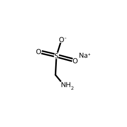 NCS(=O)(=O)[O-].[Na+]